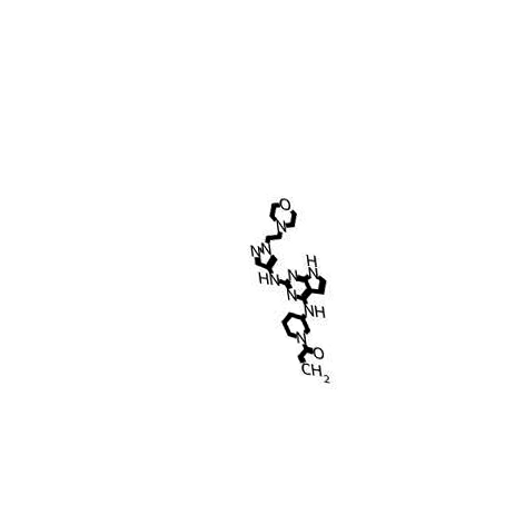 C=CC(=O)N1CCCC(Nc2nc(Nc3cnn(CCN4CCOCC4)c3)nc3[nH]ccc23)C1